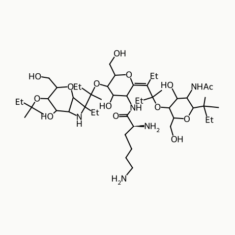 CC/C(=C1\OC(CO)C(OC(C)(CC)C2(CC)NC3C(O)C(OC(C)(C)CC)C(CO)OC32)C(O)C1NC(=O)[C@@H](N)CCCCN)C(C)(CC)OC1C(CO)OC(C(C)(C)CC)C(NC(C)=O)C1O